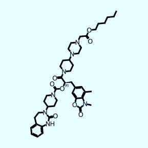 CCCCCCOC(=O)CN1CCN(C2CCN(C(=O)[C@@H](Cc3cc(C)c4c(c3)oc(=O)n4C)OC(=O)N3CCC(N4CCc5ccccc5NC4=O)CC3)CC2)CC1